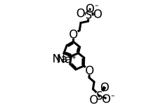 O=S(=O)([O-])CCCOc1ccc2ccc(OCCCS(=O)(=O)[O-])cc2c1.[Na+].[Na+]